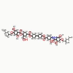 CCCCC(CC)COc1cc(OC)c(C(=O)Nc2ccc(C(=O)Oc3ccc(-c4ccc(OC(=O)c5ccc(OC(=O)c6cc(OC)c(OCC(CC)CCCC)cc6OC)c(CO)c5)cc4)cc3)cc2OC)cc1OC